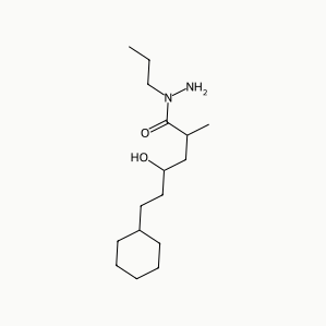 CCCN(N)C(=O)C(C)CC(O)CCC1CCCCC1